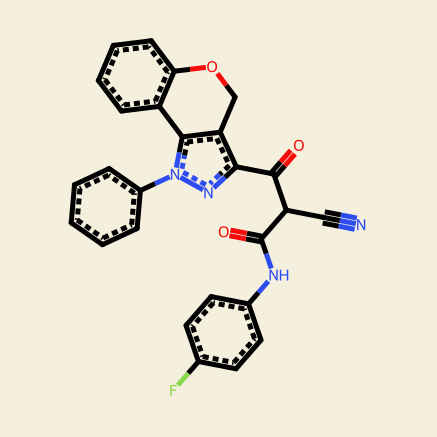 N#CC(C(=O)Nc1ccc(F)cc1)C(=O)c1nn(-c2ccccc2)c2c1COc1ccccc1-2